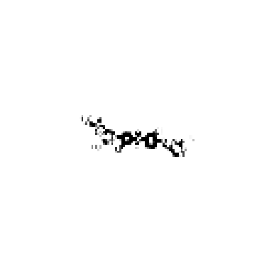 CCS(=O)(=O)C[C@@H](COc1ccc(S(=O)(=O)c2ccc(OC[C@@H](CCl)OC(C)=O)c(Cl)c2)cc1Cl)OC(C)=O